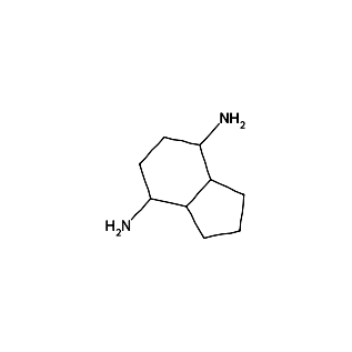 NC1CCC(N)C2CCCC12